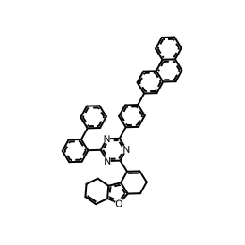 C1=Cc2oc3c(c2CC1)C(c1nc(-c2ccc(-c4ccc5c(ccc6ccccc65)c4)cc2)nc(-c2ccccc2-c2ccccc2)n1)=CCC3